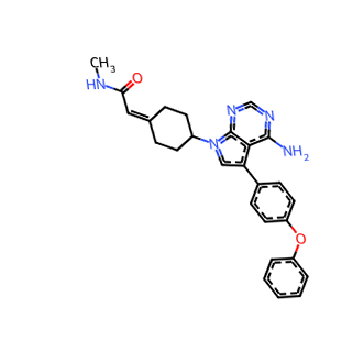 CNC(=O)C=C1CCC(n2cc(-c3ccc(Oc4ccccc4)cc3)c3c(N)ncnc32)CC1